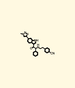 Cn1cc(-c2ccc3c(C(=O)C(NCCc4ccc(C#N)cc4)c4ccccc4)c[nH]c3c2)nn1